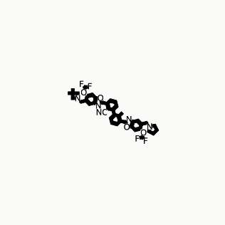 Cc1c(-c2nc3cc(CN4CCCC4)c(OC(F)F)cc3o2)cccc1-c1cccc(-c2nc3cc(CN4CC(C)(C)C4)c(OC(F)F)cc3o2)c1C#N